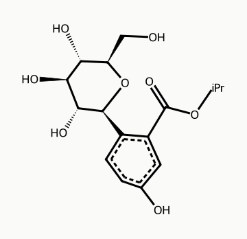 CC(C)OC(=O)c1cc(O)ccc1[C@@H]1O[C@H](CO)[C@@H](O)[C@H](O)[C@H]1O